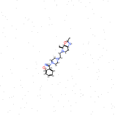 C=C1c2oc(C)nc2CCN1CCN1CCN(c2noc3ccccc23)CC1